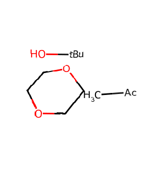 C1COCCO1.CC(C)(C)O.CC(C)=O